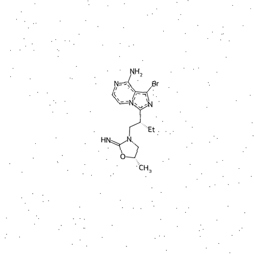 CC[C@H](CN1C[C@H](C)OC1=N)c1nc(Br)c2c(N)nccn12